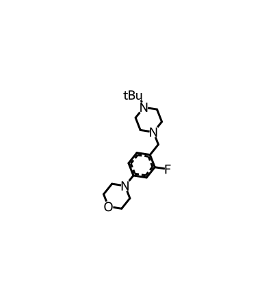 CC(C)(C)N1CCN(Cc2ccc(N3CCOCC3)cc2F)CC1